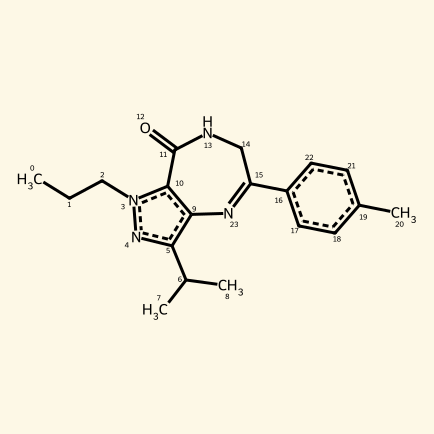 CCCn1nc(C(C)C)c2c1C(=O)NCC(c1ccc(C)cc1)=N2